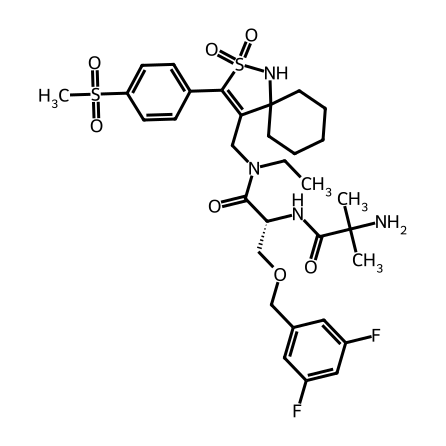 CCN(CC1=C(c2ccc(S(C)(=O)=O)cc2)S(=O)(=O)NC12CCCCC2)C(=O)[C@@H](COCc1cc(F)cc(F)c1)NC(=O)C(C)(C)N